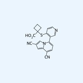 N#Cc1cc2c(C#N)ccc(-c3cnccc3SC3(C(=O)O)CCC3)n2c1